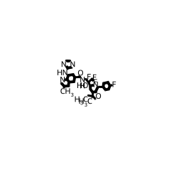 CC[C@@]1(C)COc2c1cc([C@](O)(CNC(=O)c1cc(Nc3cnccn3)c3ncc(C)cc3c1)C(F)(F)F)nc2-c1ccc(F)cc1